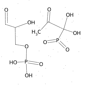 CC(=O)C(O)(O)P(=O)=O.O=CC(O)COP(=O)(O)O